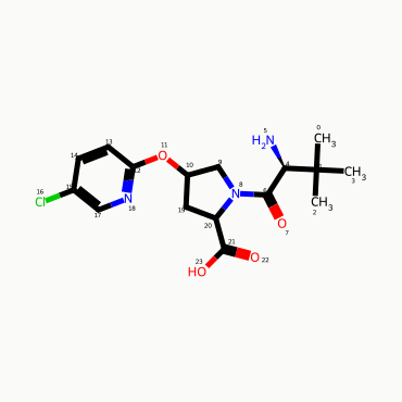 CC(C)(C)[C@H](N)C(=O)N1CC(Oc2ccc(Cl)cn2)CC1C(=O)O